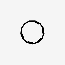 [C]1=CC=CC=CC=CCCCC=C1